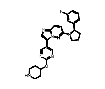 Fc1cccc(C2CCCN2c2ccc3ncc(-c4cnc(OC5CCNCC5)nc4)n3n2)c1